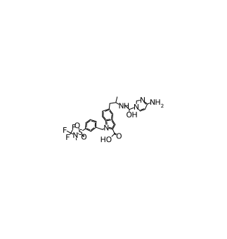 CC(Cc1ccc2c(c1)cc(C(=O)O)n2Cc1cccc(S(=O)(=O)N(C)C(F)(F)F)c1)NCC(O)N1C=CC(N)=NC1